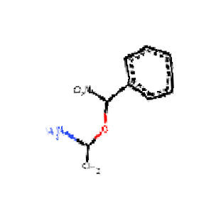 CC(N)OC(c1ccccc1)[N+](=O)[O-]